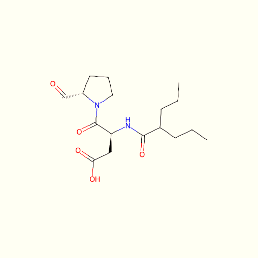 CCCC(CCC)C(=O)N[C@@H](CC(=O)O)C(=O)N1CCC[C@H]1[C]=O